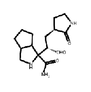 NC(=O)C1([C@@H](C=O)C[C@H]2CCNC2=O)NCC2CCCC21